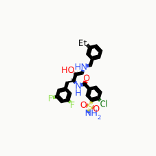 CCc1cccc(CNC[C@H](O)[C@H](Cc2cc(F)cc(F)c2)NC(=O)c2ccc(Cl)c(S(N)(=O)=O)c2)c1